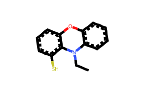 CCN1c2ccccc2Oc2cccc(S)c21